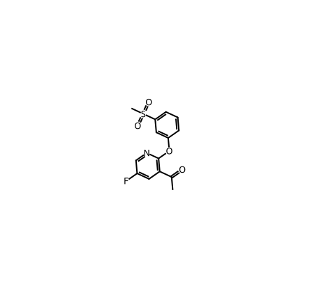 CC(=O)c1cc(F)cnc1Oc1cccc(S(C)(=O)=O)c1